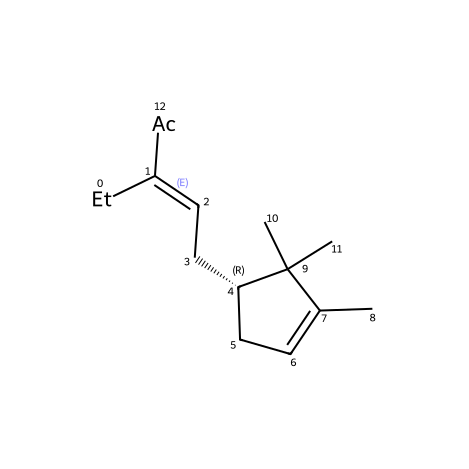 CC/C(=C\C[C@H]1CC=C(C)C1(C)C)C(C)=O